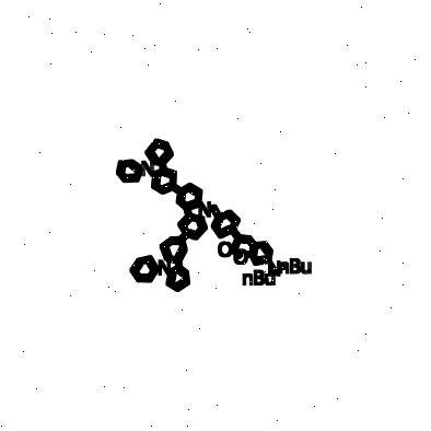 CCCCN(CCCC)c1ccc2cc(-c3ccc(Cn4c5ccc(-c6ccc7c(c6)c6ccccc6n7-c6ccccc6)cc5c5cc(-c6ccc7c(c6)c6ccccc6n7-c6ccccc6)ccc54)cc3)c(=O)oc2c1